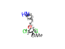 COc1cc(Cl)c(OCCCC2CCNCC2)cc1Cl